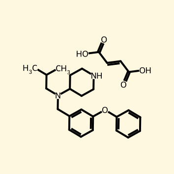 CC(C)CN(Cc1cccc(Oc2ccccc2)c1)C1CCNCC1.O=C(O)C=CC(=O)O